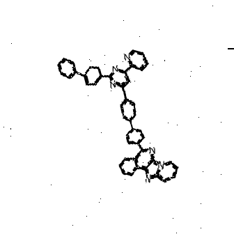 C1=C(c2ccccc2)CCC(c2nc(-c3ccc(-c4ccc(-c5nc6c(nc7ccccn76)c6ccccc56)cc4)cc3)cc(-c3ccccn3)n2)=C1